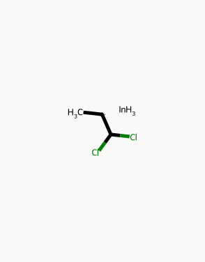 C[CH]C(Cl)Cl.[InH3]